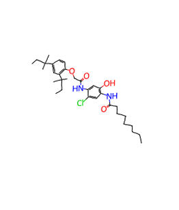 CCCCCCCCC(=O)Nc1cc(Cl)c(NC(=O)COc2ccc(C(C)(C)CC)cc2C(C)(C)CC)cc1O